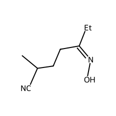 CCC(CCC(C)C#N)=NO